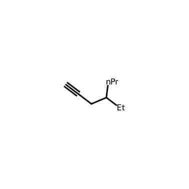 C#CCC(CC)CCC